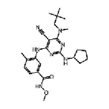 CONC(=O)c1ccc(C)c(Nc2nc(NC3CCCC3)nc(N(C)CC(C)(C)C)c2C#N)c1